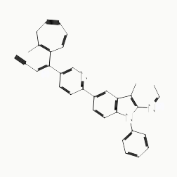 C#C/C=C(\C1=C(C)CC#CC=C1)c1ccc(-c2ccc3c(c2)c(C)c(/N=C\C)n3-c2ccccc2)nc1